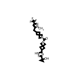 Cn1nc(C(F)(F)F)cc1CC1CC2(C1)CN(C(=O)N1CC3(CC(c4nc(C5(O)CC5)n[nH]4)C3)C1)C2